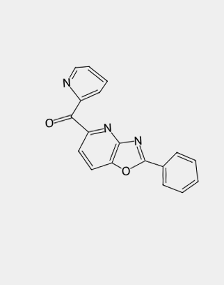 O=C(c1ccccn1)c1ccc2oc(-c3ccccc3)nc2n1